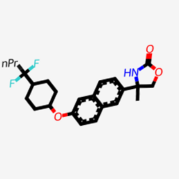 CCCC(F)(F)C1CCC(Oc2ccc3cc(C4(C)COC(=O)N4)ccc3c2)CC1